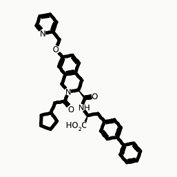 O=C(O)[C@H](Cc1ccc(-c2ccccc2)cc1)NC(=O)[C@@H]1Cc2ccc(OCc3ccccn3)cc2CN1C(=O)CC1CCCC1